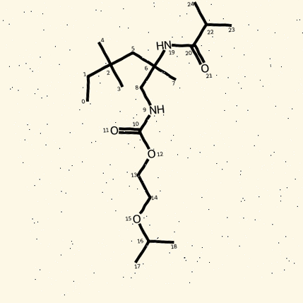 CCC(C)(C)CC(C)(CNC(=O)OCCOC(C)C)NC(=O)C(C)C